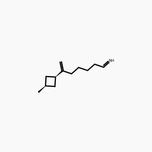 C=C(CCCCC=N)[C@H]1C[C@@H](C)C1